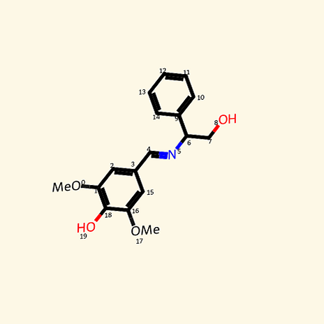 COc1cc(C=NC(CO)c2ccccc2)cc(OC)c1O